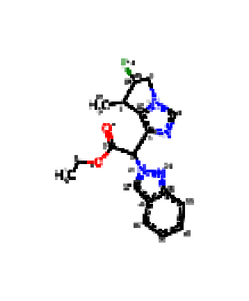 CCOC(=O)C(c1ncn2c1C(C)[C@@H](F)C2)n1cc2ccccc2n1